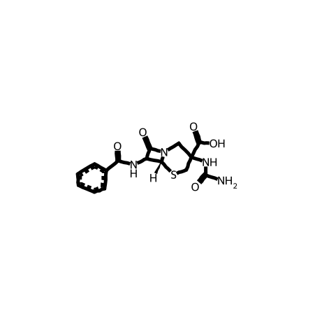 NC(=O)NC1(C(=O)O)CS[C@@H]2C(NC(=O)c3ccccc3)C(=O)N2C1